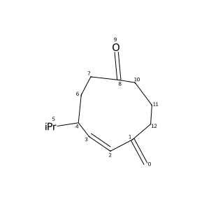 C=C1C=CC(C(C)C)CCC(=O)CCC1